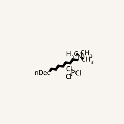 CCCCCCCCCCCCCCCCCC[N+](C)(C)C.ClP(Cl)Cl